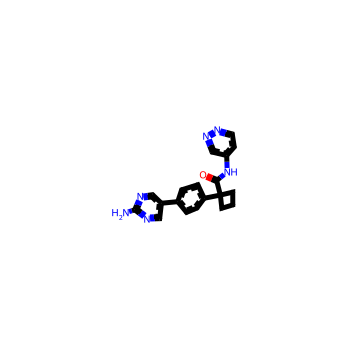 Nc1ncc(-c2ccc(C3(C(=O)Nc4ccnnc4)CCC3)cc2)cn1